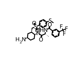 CSc1ccc(S(=O)(=O)C[C@@H]2C[C@H](N)CC[C@@H]2NC(=O)[C@@H](C)NC(=O)c2cccc(C(F)(F)F)c2)cc1